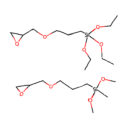 CCO[Si](CCCOCC1CO1)(OCC)OCC.CO[Si](C)(CCCOCC1CO1)OC